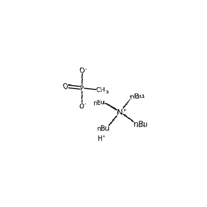 CCCC[N+](CCCC)(CCCC)CCCC.CP(=O)([O-])[O-].[H+]